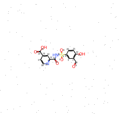 O=Cc1cc(S(=O)(=O)NC(=O)c2cc(C(=O)O)ccn2)ccc1O